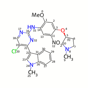 COc1cc(O[C@H]2CCN(C)C2)c([N+](=O)[O-])cc1Nc1ncc(Cl)c(-c2cn(C)c3ccccc23)n1